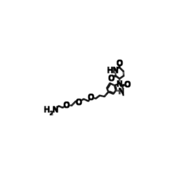 Cn1c(=O)n(C2CCC(=O)NC2=O)c2ccc(CCCOCCOCCOCCN)cc21